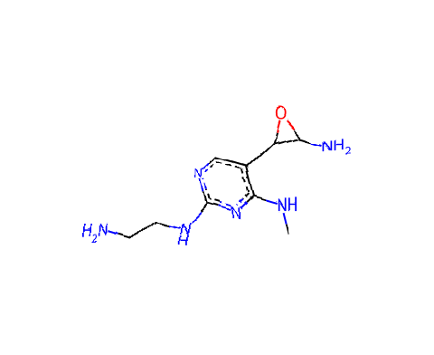 CNc1nc(NCCN)ncc1C1OC1N